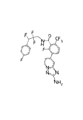 Nc1nc2cc(-c3ccc(C(F)(F)F)c(C(=O)NCC(F)(F)C(F)c4ccc(F)cc4)c3F)ccn2n1